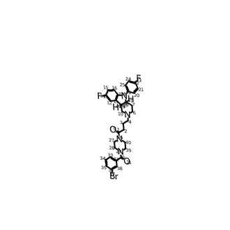 O=C(CCCN1CC[C@@H]2[C@@H](C1)c1cc(F)ccc1N2c1ccc(F)cc1)N1CCN(C(=O)c2cccc(Br)c2)CC1